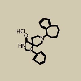 Cl.O=C1NCN(c2ccccc2)C12CCN(C1CCCCc3ccccc31)CC2